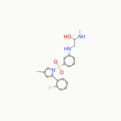 [CH2]c1cc(-c2ccccc2F)n(S(=O)(=O)c2cccc(NCC(O)NC)c2)c1